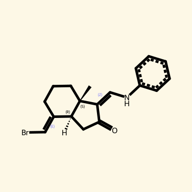 C[C@]12CCC/C(=C\Br)[C@@H]1CC(=O)/C2=C\Nc1ccccc1